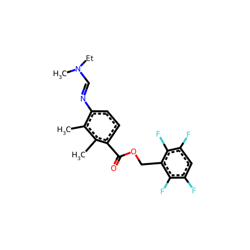 CCN(C)/C=N/c1ccc(C(=O)OCc2c(F)c(F)cc(F)c2F)c(C)c1C